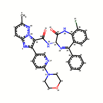 Cc1ccc2nc(-c3ccc(N4CCOCC4)nc3)c(C(=O)N[C@H]3N=C(c4ccccc4)c4cccc(F)c4NC3=O)n2n1